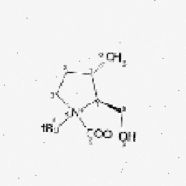 C[C@H]1CC[N+](C(=O)[O-])(C(C)(C)C)[C@@H]1CO